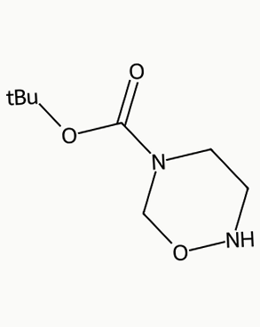 CC(C)(C)OC(=O)N1CCNOC1